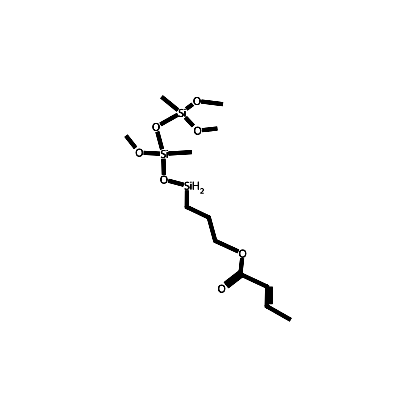 CC=CC(=O)OCCC[SiH2]O[Si](C)(OC)O[Si](C)(OC)OC